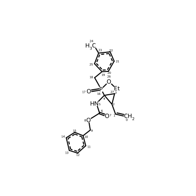 C=CC1CC1(NC(=O)OCc1ccccc1)P(=O)(Cc1cccc(C)c1)OCC